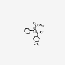 COC(=O)[C@@H]1[C@H](c2ccccc2)N1[S+]([O-])c1ccc(C)cc1